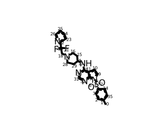 Cc1ccc(S(=O)(=O)n2ccc3c(NC4CCN(CC(F)(F)c5ccccn5)CC4)ncnc32)cc1